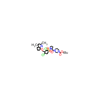 Cc1cc(C)c2cccc(OCc3c(Cl)ccc(S(=O)(=O)N4CCCC4C(=O)N4CCCN(C(=O)OC(C)(C)C)CC4)c3Cl)c2n1